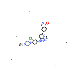 CC(C)N1CCN(c2ccc(Nc3ccc(-c4ccc5c(c4)C=NC5=O)n4ccnc34)cc2Cl)CC1